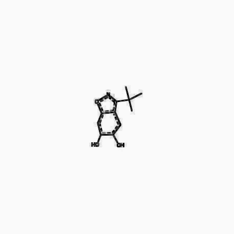 CC(C)(C)c1noc2cc(O)c(O)cc12